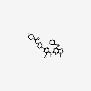 COc1cc(N2CCN(CC(=O)N3CCOCC3)CC2)ccc1Nc1nc(NC2CCCCC2)c2nc[nH]c2n1